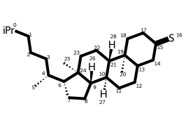 CC(C)CCC[C@@H](C)[C@H]1CC[C@H]2[C@@H]3CCC4CC(=S)CC[C@]4(C)[C@H]3CC[C@]12C